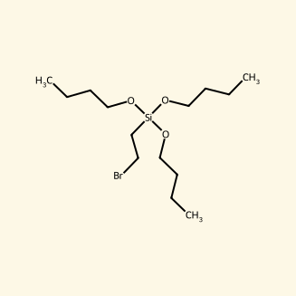 CCCCO[Si](CCBr)(OCCCC)OCCCC